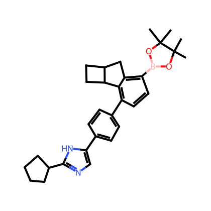 CC1(C)OB(c2ccc(-c3ccc(-c4cnc(C5CCCC5)[nH]4)cc3)c3c2CC2CCC32)OC1(C)C